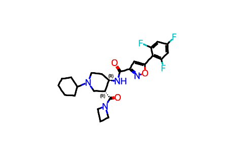 O=C(N[C@@H]1CCN(C2CCCCC2)C[C@H]1C(=O)N1CCC1)c1cc(-c2c(F)cc(F)cc2F)on1